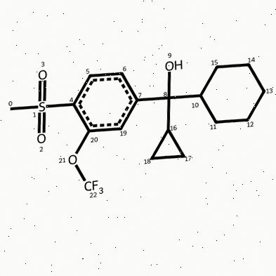 CS(=O)(=O)c1ccc(C(O)(C2CCCCC2)C2CC2)cc1OC(F)(F)F